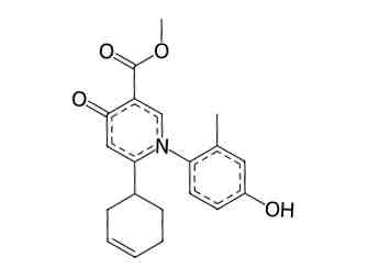 COC(=O)c1cn(-c2ccc(O)cc2C)c(C2CC=CCC2)cc1=O